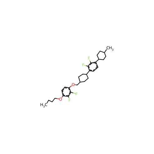 CCCCOc1ccc(OCC2CCC(c3ccc(C4CCC(C)CC4)c(F)c3F)CC2)c(F)c1F